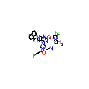 Cc1cccc2cccc(N3CCc4c(nc(OC[C@@H]5CC(F)(F)CN5C)nc4N4CCN(C(=O)C#CCF)[C@@H](CC#N)C4)C3)c12